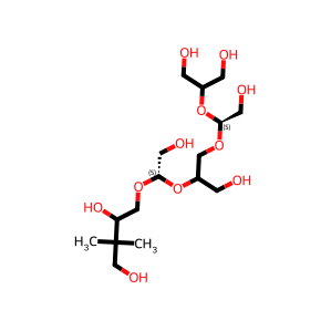 CC(C)(CO)C(O)CO[C@H](CO)OC(CO)CO[C@H](CO)OC(CO)CO